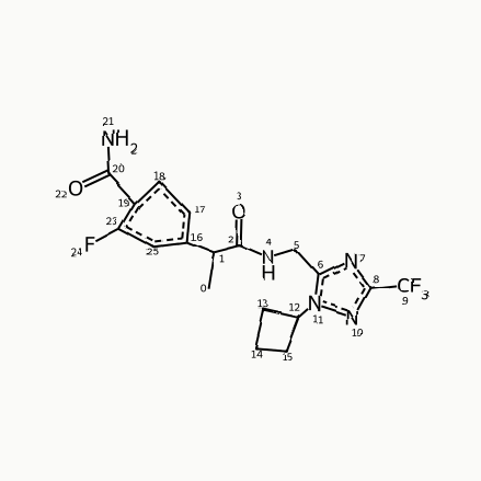 CC(C(=O)NCc1nc(C(F)(F)F)nn1C1CCC1)c1ccc(C(N)=O)c(F)c1